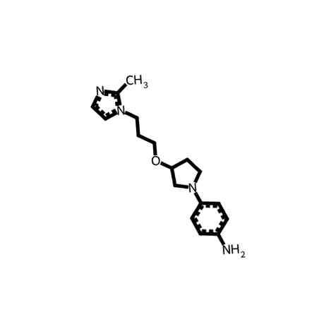 Cc1nccn1CCCOC1CCN(c2ccc(N)cc2)C1